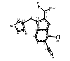 N#Cc1ccc2c(cc(C(F)F)n2Cc2cscn2)c1Cl